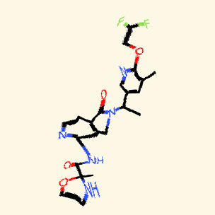 Cc1cc(C(C)N2Cc3c(ccnc3NC(=O)C3(C)NC=CO3)C2=O)cnc1OCC(F)F